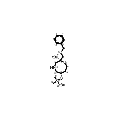 CC(C)(C)[C@@]1(COCc2ccccc2)CNC[C@H](O[Si](C)(C)C(C)(C)C)CCO1